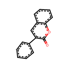 O=c1oc2ccccc2cc1-c1c[c]ccc1